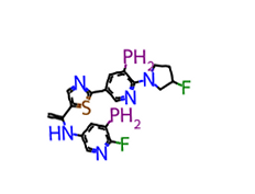 C=C(Nc1cnc(F)c(P)c1)c1cnc(-c2cnc(N3CCC(F)C3)c(P)c2)s1